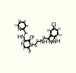 Cc1cnc(NCc2ccccn2)c(=O)n1CCNCc1n[nH]c2ccc(Cl)cc12